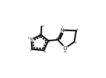 Cc1sccc1C1=NCCO1